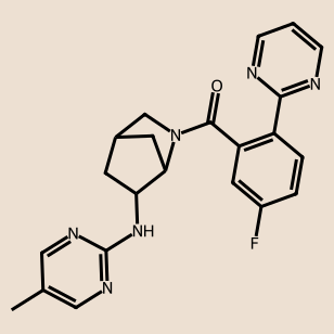 Cc1cnc(NC2CC3CC2N(C(=O)c2cc(F)ccc2-c2ncccn2)C3)nc1